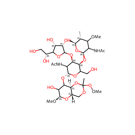 COOC1(C)OC[C@@H]2O[C@@H](OC)C(O)C(O[C@H]3OC(CO)[C@H](O[C@H]4O[C@@H](C)[C@H](C)C(OC)C4NC(C)=O)[C@H](OC4OC([C@H](O)CO)[C@H](O)[C@@H]4O)C3NC(C)=O)[C@H]2O1